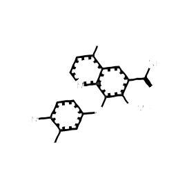 COc1c(C(N)=O)cc2c(Cl)ccnc2c1Oc1ccc(N)c(Cl)c1